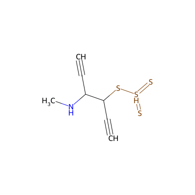 C#CC(NC)C(C#C)S[SH](=S)=S